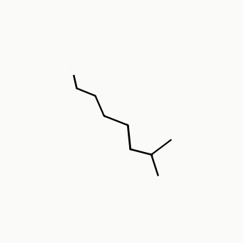 CC(C)CCCCCF